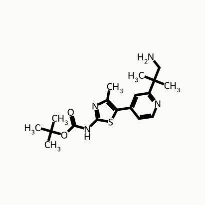 Cc1nc(NC(=O)OC(C)(C)C)sc1-c1ccnc(C(C)(C)CN)c1